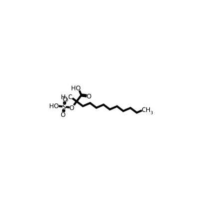 CCCCCCCCCCC(C)(OS(=O)(=O)O)C(=O)O